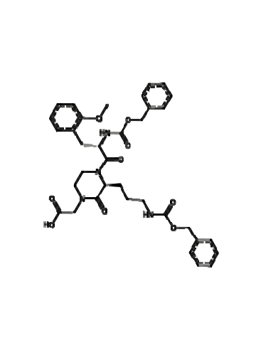 COc1ccccc1C[C@H](NC(=O)OCc1ccccc1)C(=O)N1CCN(CC(=O)O)C(=O)[C@@H]1CCCNC(=O)OCc1ccccc1